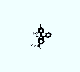 COC(=O)C1C=c2c(c(C3CCCCC3)c(-c3ccc(F)cc3O)n2C)=CC1